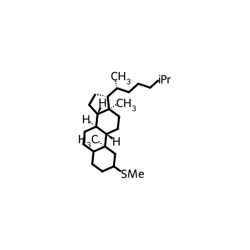 CSC1CCC2CC[C@H]3[C@@H]4CC[C@H]([C@H](C)CCCC(C)C)[C@@]4(C)CC[C@@H]3[C@@]2(C)C1